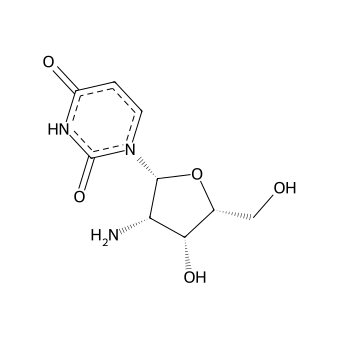 N[C@H]1[C@@H](O)[C@@H](CO)O[C@H]1n1ccc(=O)[nH]c1=O